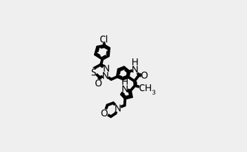 C/C(=C1\C(=O)Nc2ccc(CN3N=C(c4ccc(Cl)cc4)CSC3=O)cc21)c1cc(CN2CCOCC2)c[nH]1